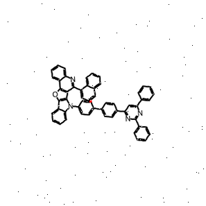 c1ccc(-c2cc(-c3ccc(-c4ccc(-n5c6ccccc6c6oc7c8ccccc8nc(-c8cccc9ccccc89)c7c65)cc4)cc3)nc(-c3ccccc3)n2)cc1